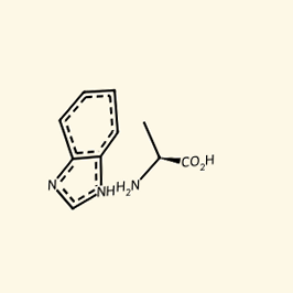 C[C@H](N)C(=O)O.c1ccc2[nH]cnc2c1